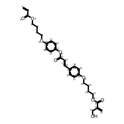 C=CC(=O)OCCCCOc1ccc(OC(=O)/C=C/c2ccc(OCCCCOC(=O)C(=C)CO)cc2)cc1